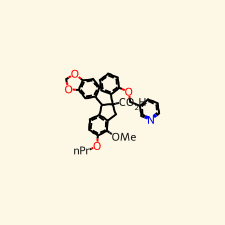 CCCOc1ccc2c(c1OC)CC(C(=O)O)(c1ccccc1OCc1cccnc1)C2c1ccc2c(c1)OCO2